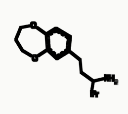 CC(C)C(N)CCc1ccc2c(c1)OCCCO2